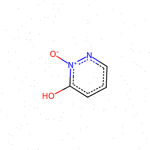 [O-][n+]1ncccc1O